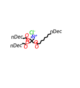 CCCCCCCCCCCCCCCCCC(=O)OCC(COC(=O)CCCCCCCCCCC)(COC(=O)CCCCCCCCCCC)C[N+](C)(C)C.[Cl-]